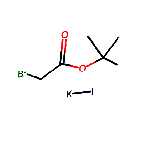 CC(C)(C)OC(=O)CBr.[K][I]